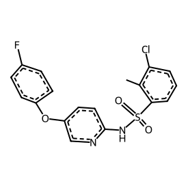 Cc1c(Cl)cccc1S(=O)(=O)Nc1ccc(Oc2ccc(F)cc2)cn1